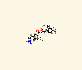 CN(C)c1ccc(/C=C/C(=O)CC(=O)/C=C/c2ccc(N(C)C)cc2[N+](=O)[O-])c([N+](=O)[O-])c1